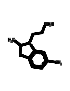 Cc1ccc2c(c1)N(CCC(=O)O)C(C)S2